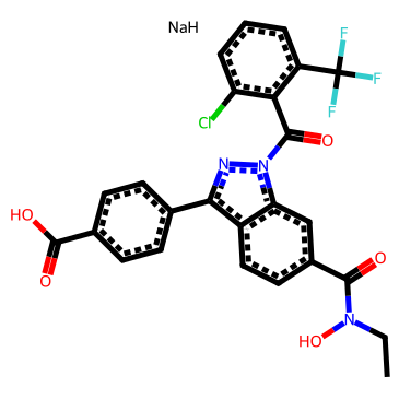 CCN(O)C(=O)c1ccc2c(-c3ccc(C(=O)O)cc3)nn(C(=O)c3c(Cl)cccc3C(F)(F)F)c2c1.[NaH]